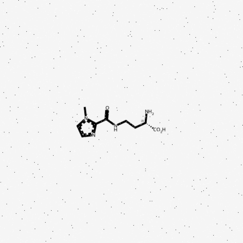 Cn1ccnc1C(=O)NCC[C@H](N)C(=O)O